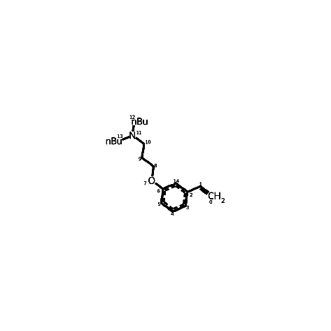 C=Cc1cccc(OCCCN(CCCC)CCCC)c1